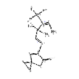 CC(C)(/C=N/N1CC2(CC2)CC1=O)/C(=C\N)C(F)(F)F